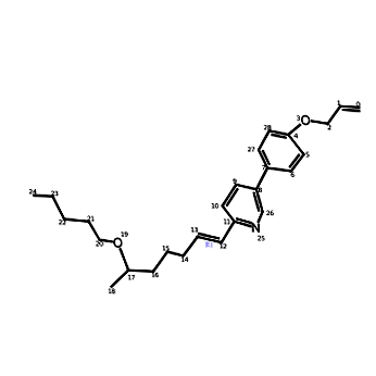 C=CCOc1ccc(-c2ccc(/C=C/CCCC(C)OCCCCC)nc2)cc1